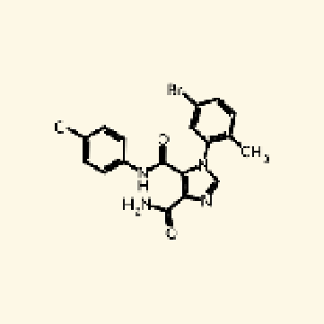 Cc1ccc(Br)cc1-n1cnc(C(N)=O)c1C(=O)Nc1ccc(Cl)cc1